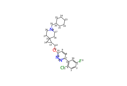 Fc1ccc(Cl)c(-c2ccc(OCC3CC34CCN(CC3CCCCC3)CC4)nn2)c1